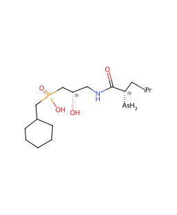 CC(C)C[C@H]([AsH2])C(=O)NC[C@H](O)CP(=O)(O)CC1CCCCC1